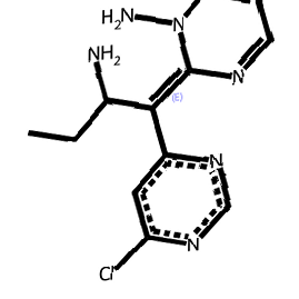 CCC(N)/C(=C1/N=CC=CN1N)c1cc(Cl)ncn1